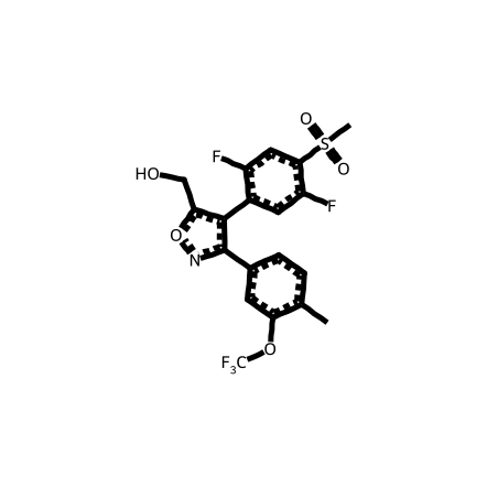 Cc1ccc(-c2noc(CO)c2-c2cc(F)c(S(C)(=O)=O)cc2F)cc1OC(F)(F)F